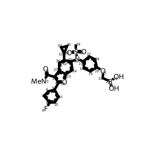 CNC(=O)c1c(-c2ccc(F)cc2)oc2cc(N(c3ccc(OCB(O)O)cc3)S(C)(=O)=O)c(C3CC3)cc12